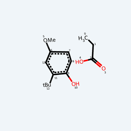 CCC(=O)O.COc1ccc(O)c(C(C)(C)C)c1